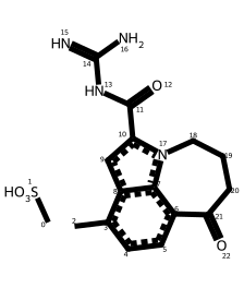 CS(=O)(=O)O.Cc1ccc2c3c1cc(C(=O)NC(=N)N)n3CCCC2=O